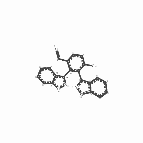 O=Cc1ccc(F)c(-c2noc3ccccc23)c1-c1noc2ccccc12